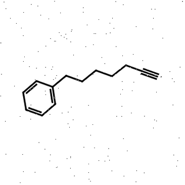 [C]#CCCCCCc1ccccc1